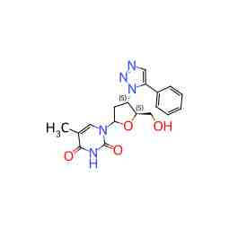 Cc1cn(C2C[C@H](n3nncc3-c3ccccc3)[C@@H](CO)O2)c(=O)[nH]c1=O